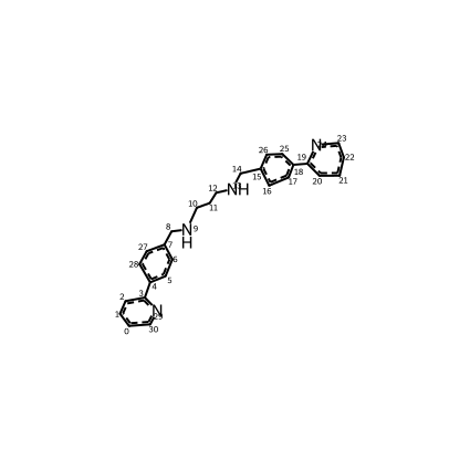 c1ccc(-c2ccc(CNCCCNCc3ccc(-c4ccccn4)cc3)cc2)nc1